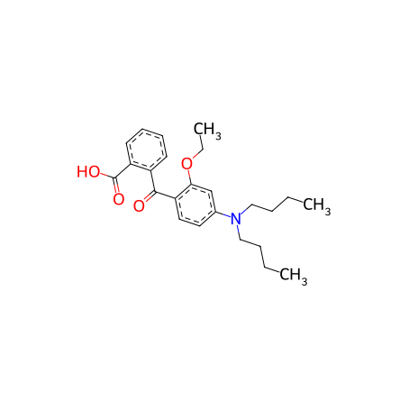 CCCCN(CCCC)c1ccc(C(=O)c2ccccc2C(=O)O)c(OCC)c1